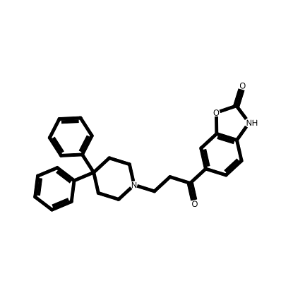 O=C(CCN1CCC(c2ccccc2)(c2ccccc2)CC1)c1ccc2[nH]c(=O)oc2c1